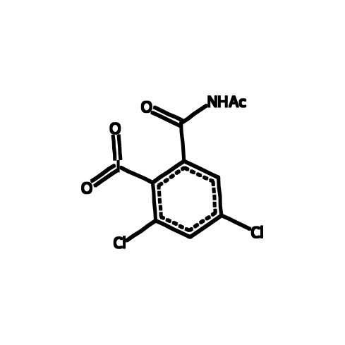 CC(=O)NC(=O)c1cc(Cl)cc(Cl)c1I(=O)=O